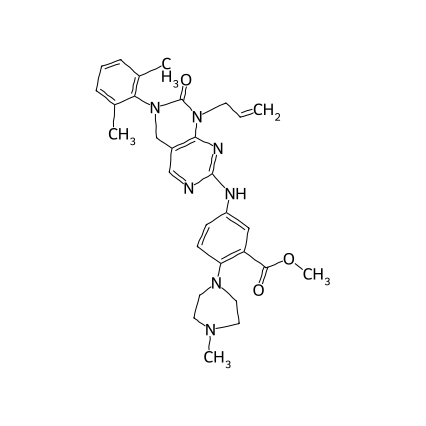 C=CCN1C(=O)N(c2c(C)cccc2C)Cc2cnc(Nc3ccc(N4CCN(C)CC4)c(C(=O)OC)c3)nc21